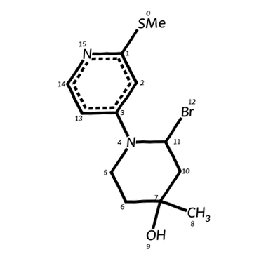 CSc1cc(N2CCC(C)(O)CC2Br)ccn1